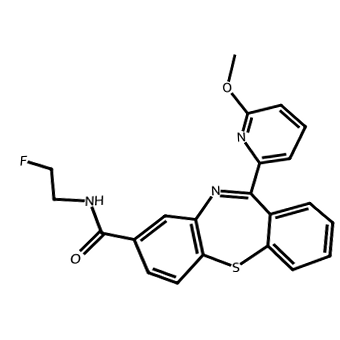 COc1cccc(C2=Nc3cc(C(=O)NCCF)ccc3Sc3ccccc32)n1